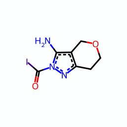 Nc1c2c(nn1C(=O)I)CCOC2